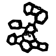 CC12c3ccccc3-c3ccc4c5ccccc5n(c4c31)-c1nc(-c3cccc4oc5ccccc5c34)nc(-c3ccccc3)[n+]12